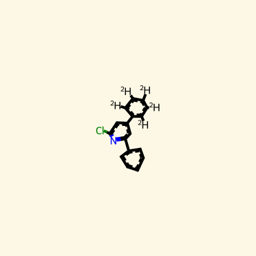 [2H]c1c([2H])c([2H])c(-c2cc(Cl)nc(-c3ccccc3)c2)c([2H])c1[2H]